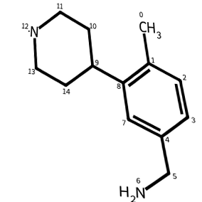 Cc1ccc(CN)cc1C1CC[N]CC1